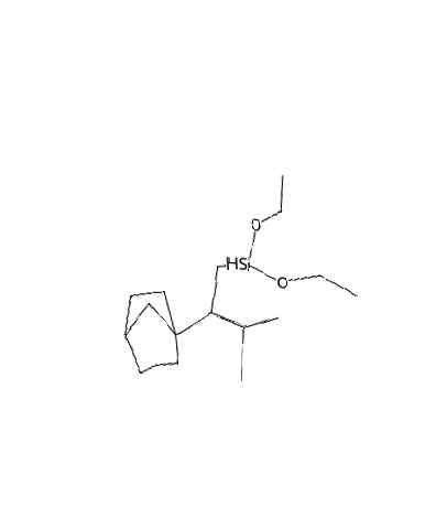 CCO[SiH](CC(C(C)C)C12CCC(CC1)C2)OCC